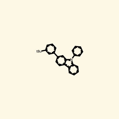 CC(C)(C)c1cccc(-c2ccc3c4ccccc4n(-c4ccccc4)c3c2)c1